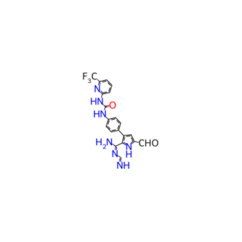 N=C/N=C(/N)c1[nH]c(C=O)cc1-c1ccc(NC(=O)Nc2cccc(C(F)(F)F)n2)cc1